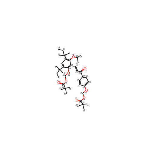 CCC(C)(C)c1cc(C(C)(C)CC)c(OC(C)C)c(/C=C/C(=O)c2ccc(OCOC(=O)C(C)(C)C)cc2)c1OCOC(=O)C(C)(C)C